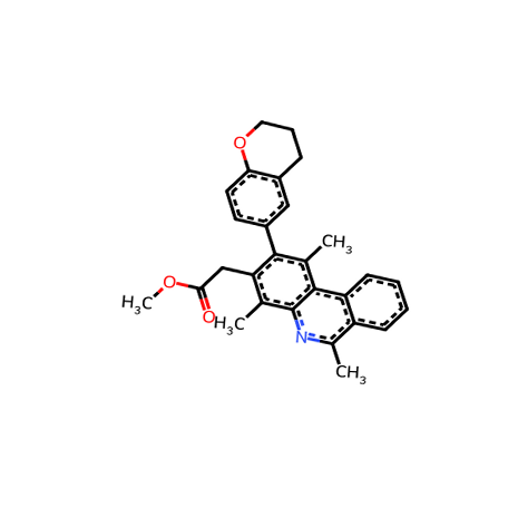 COC(=O)Cc1c(-c2ccc3c(c2)CCCO3)c(C)c2c(nc(C)c3ccccc32)c1C